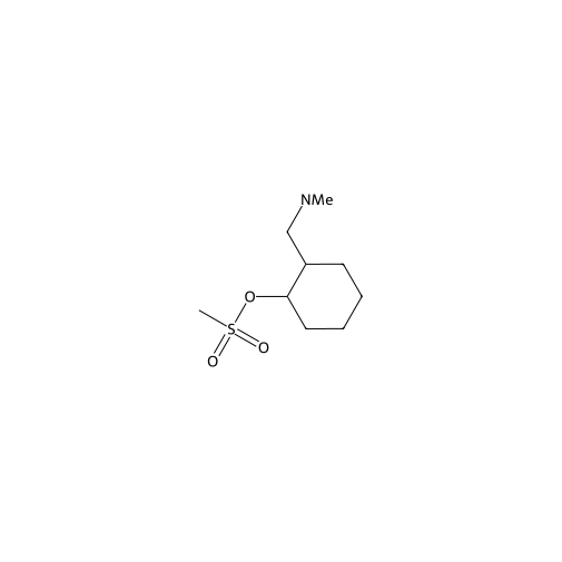 CNCC1CCCCC1OS(C)(=O)=O